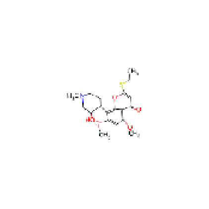 CCSc1cc(=O)c2c(OC)cc(OC)c(C3CCN(C)CC3O)c2o1